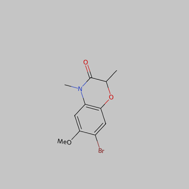 COc1cc2c(cc1Br)OC(C)C(=O)N2C